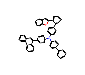 c1ccc(-c2ccc(N(c3ccc(-c4ccccc4-c4cc5ccccc5o4)cc3)c3ccc(-c4cc5ccccc5c5ccccc45)cc3)cc2)cc1